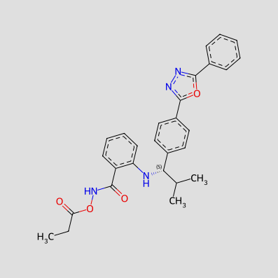 CCC(=O)ONC(=O)c1ccccc1N[C@H](c1ccc(-c2nnc(-c3ccccc3)o2)cc1)C(C)C